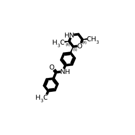 Cc1ccc(C(=O)Nc2ccc([C@@H]3O[C@H](C)CN[C@@H]3C)cc2)cc1